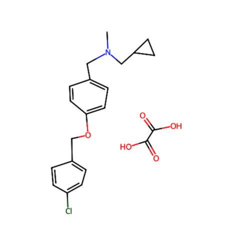 CN(Cc1ccc(OCc2ccc(Cl)cc2)cc1)CC1CC1.O=C(O)C(=O)O